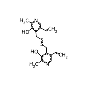 C=Cc1cnc(C)c(O)c1CSSCc1c(C=C)cnc(C)c1O